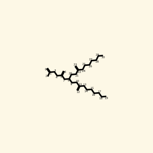 C=C(C)CCC(=C)CC(CCC(=C)CCCCCCC)CCC(=C)CCCCCCC